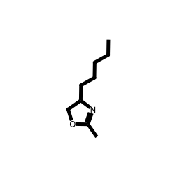 CCCCCC1COC(C)=N1